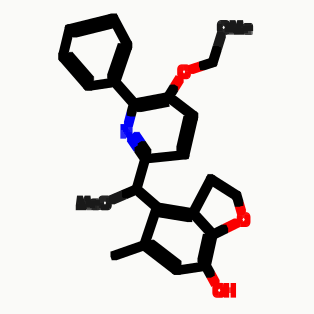 COCOc1ccc(C(OC)c2c(C)cc(O)c3c2CCO3)nc1-c1ccccc1